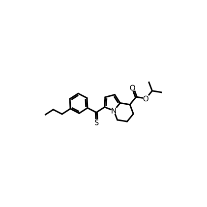 CCCc1cccc(C(=S)c2ccc3n2CCCC3C(=O)OC(C)C)c1